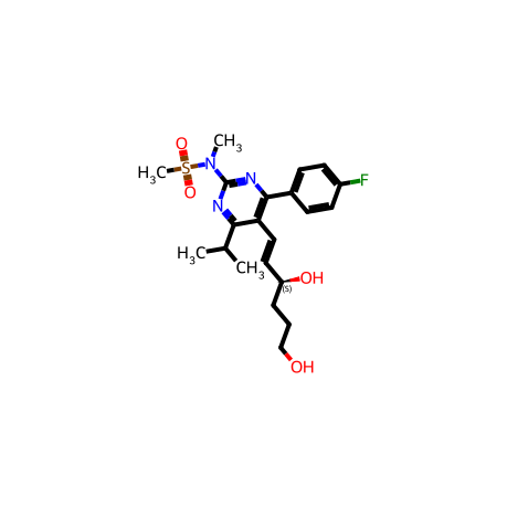 CC(C)c1nc(N(C)S(C)(=O)=O)nc(-c2ccc(F)cc2)c1C=C[C@@H](O)CCCO